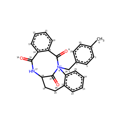 Cc1ccc(C[N+]23C(=O)c4ccccc4C(=O)NC(CCc4ccccc42)C3=O)cc1